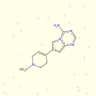 Nc1ncnc2cc(C3=CCN(C(=O)O)CC3)cn12